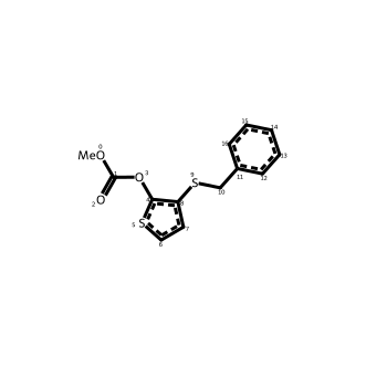 COC(=O)Oc1sccc1SCc1ccccc1